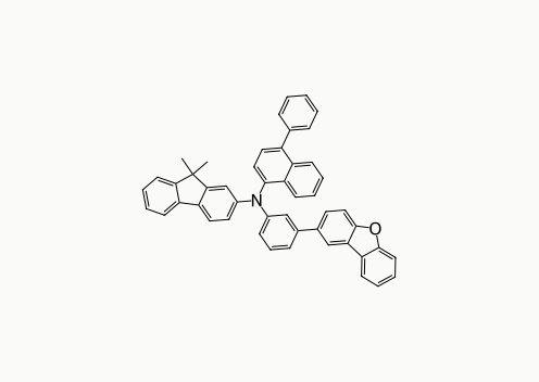 CC1(C)c2ccccc2-c2ccc(N(c3cccc(-c4ccc5oc6ccccc6c5c4)c3)c3ccc(-c4ccccc4)c4ccccc34)cc21